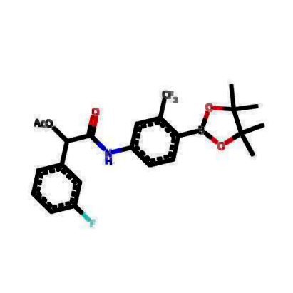 CC(=O)OC(C(=O)Nc1ccc(B2OC(C)(C)C(C)(C)O2)c(C(F)(F)F)c1)c1cccc(F)c1